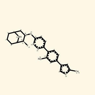 Cc1cc(-c2ccc(-c3ccc(O[C@@H]4CC5CCCC(N5)[C@@H]4F)nn3)c(O)c2)cs1